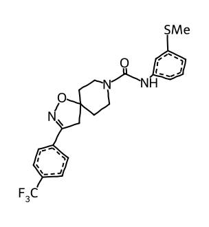 CSc1cccc(NC(=O)N2CCC3(CC2)CC(c2ccc(C(F)(F)F)cc2)=NO3)c1